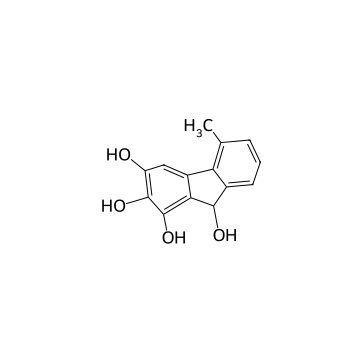 Cc1cccc2c1-c1cc(O)c(O)c(O)c1C2O